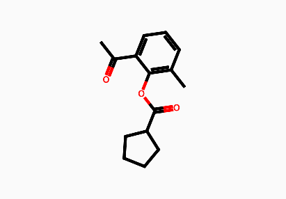 CC(=O)c1cccc(C)c1OC(=O)C1CCCC1